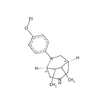 CCOc1ccc(N2C[C@H]3CNC[C@@H]2C(C)C3C)cc1